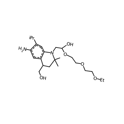 CCOCCOCCOC(O)CN1c2cc(C(C)C)c(N)cc2C(CO)CC1(C)C